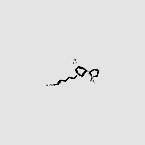 Br.CCCCC/C=C/CCC[n+]1cccc([C@@H]2CCCN2C)c1.[Br-]